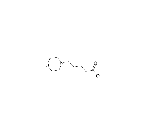 [O]C(=O)CCCCN1CCOCC1